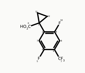 O=C(O)C1(c2cc(F)c(C(F)(F)F)cc2F)CC1